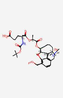 C[C@H](OC(=O)[C@H](CCC(=O)O)NC(=O)OC(C)(C)C)C(=O)OC1CC[C@@]2(O)[C@H]3Cc4ccc(CO)c5c4[C@@]2(CCN3C)[C@H]1O5